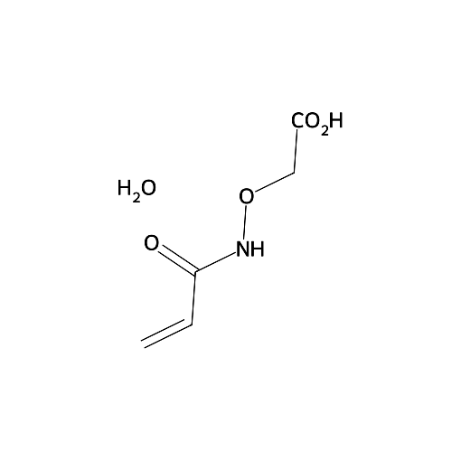 C=CC(=O)NOCC(=O)O.O